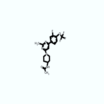 CC(=O)NC1CCN(c2cc(-c3ccc(OC(F)(F)F)c(F)c3)nc(C)n2)CC1